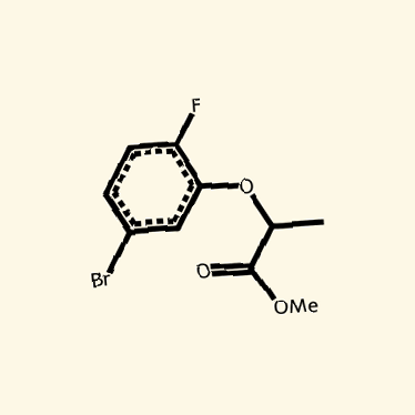 COC(=O)C(C)Oc1cc(Br)ccc1F